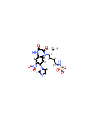 O=c1[nH]c2cc([N+](=O)[O-])c(-n3ccnc3)cc2n(CCCCNS(=O)(=O)[O-])c1=O.[Na+]